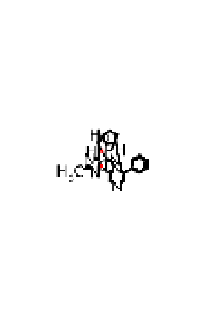 Cc1nsc(N2C[C@H]3CC[C@@H](C2)C3Nc2nc3cncc(-c4ccccc4)n3n2)n1